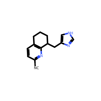 [C-]#[N+]c1ccc2c(n1)C(Cc1c[nH]cn1)CCC2